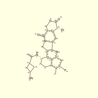 C=C(N[C@H]1CCc2c(C)c(F)cc3nc4c(c1c23)Cn1c-4cc2c(c1=O)COC(=O)[C@@H]2CC)C1CC(CCC)C1